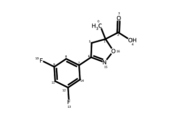 CC1(C(=O)O)CC(c2cc(F)cc(F)c2)=NO1